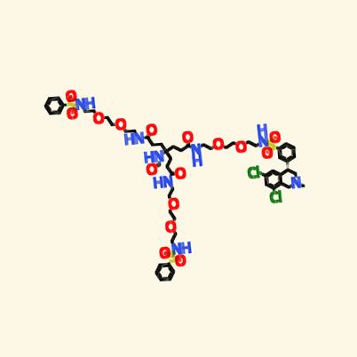 CN1Cc2c(Cl)cc(Cl)cc2[C@H](c2cccc(S(=O)(=O)NCCOCCOCCNC(=O)CCC(CCC(=O)NCCOCCOCCNS(=O)(=O)c3ccccc3)(CCC(=O)NCCOCCOCCNS(=O)(=O)c3ccccc3)NC=O)c2)C1